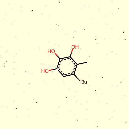 CCC(C)c1cc(O)c(O)c(O)c1C